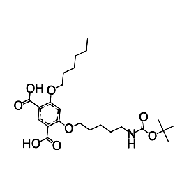 CCCCCCOc1cc(OCCCCCNC(=O)OC(C)(C)C)c(C(=O)O)cc1C(=O)O